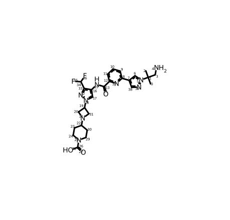 CC(C)(CN)n1cc(-c2cccc(C(=O)Nc3cn(C4CN(C5CCN(C(=O)O)CC5)C4)nc3C(F)F)n2)cn1